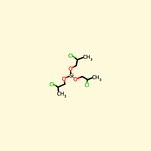 CC(Cl)CO[Si](OCC(C)Cl)OCC(C)Cl